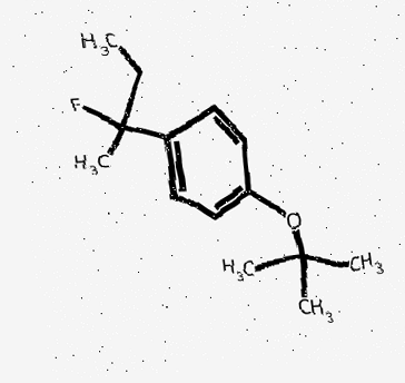 CCC(C)(F)c1ccc(OC(C)(C)C)cc1